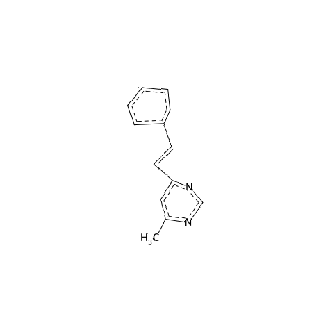 Cc1cc(C=Cc2cc[c]cc2)ncn1